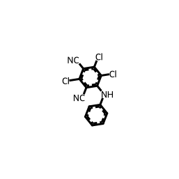 N#Cc1c(Cl)c(Cl)c(Nc2ccccc2)c(C#N)c1Cl